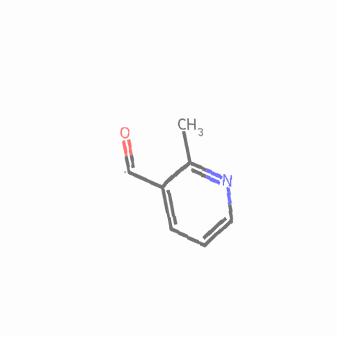 Cc1ncccc1[C]=O